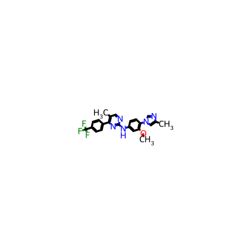 COc1cc(Nc2ncc(C)c(-c3ccc(C(F)(F)F)cc3)n2)ccc1-n1cnc(C)c1